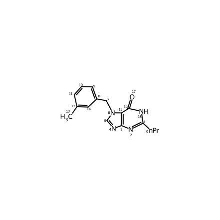 CCCc1nc2ncn(Cc3cccc(C)c3)c2c(=O)[nH]1